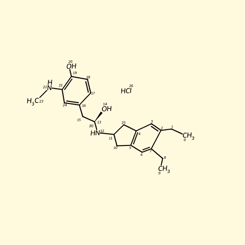 CCc1cc2c(cc1CC)CC(N[C@H](O)Cc1ccc(O)c(NC)c1)C2.Cl